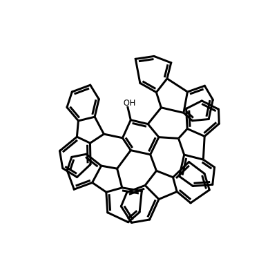 Oc1c(C2c3ccccc3-c3ccccc32)c(C2c3ccccc3-c3ccccc32)c(C2c3ccccc3-c3ccccc32)c(C2c3ccccc3-c3ccccc32)c1C1c2ccccc2-c2ccccc21